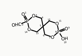 O=CP1(=O)OCC2(COP(=O)(O)OC2)CO1